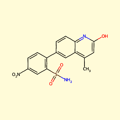 Cc1cc(O)nc2ccc(-c3ccc([N+](=O)[O-])cc3S(N)(=O)=O)cc12